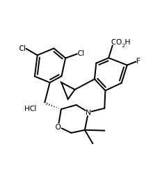 CC1(C)CO[C@H](Cc2cc(Cl)cc(Cl)c2)CN1Cc1cc(F)c(C(=O)O)cc1C1CC1.Cl